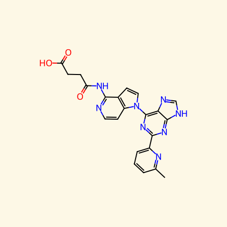 Cc1cccc(-c2nc(-n3ccc4c(NC(=O)CCC(=O)O)nccc43)c3nc[nH]c3n2)n1